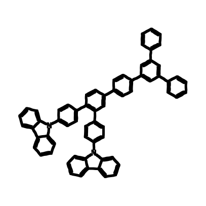 c1ccc(-c2cc(-c3ccccc3)cc(-c3ccc(-c4ccc(-c5ccc(-n6c7ccccc7c7ccccc76)cc5)c(-c5ccc(-n6c7ccccc7c7ccccc76)cc5)c4)cc3)c2)cc1